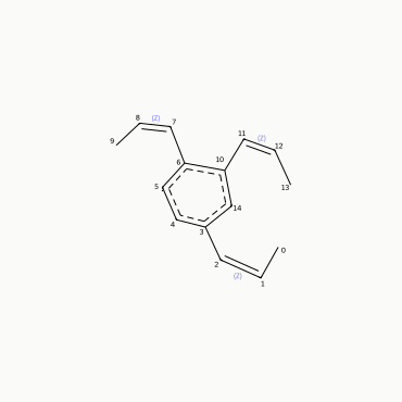 C/C=C\c1c[c]c(/C=C\C)c(/C=C\C)c1